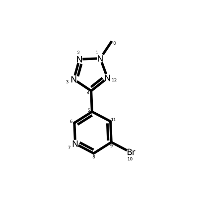 Cn1nnc(-c2cncc(Br)c2)n1